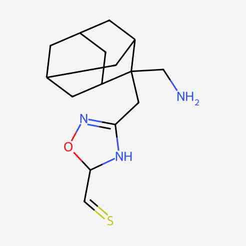 NCC1(CC2=NOC(C=S)N2)C2CC3CC(C2)CC1C3